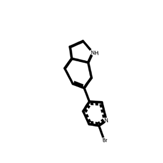 Brc1ccc(C2=CCC3CCNC3C2)cn1